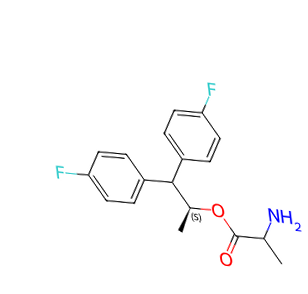 CC(N)C(=O)O[C@@H](C)C(c1ccc(F)cc1)c1ccc(F)cc1